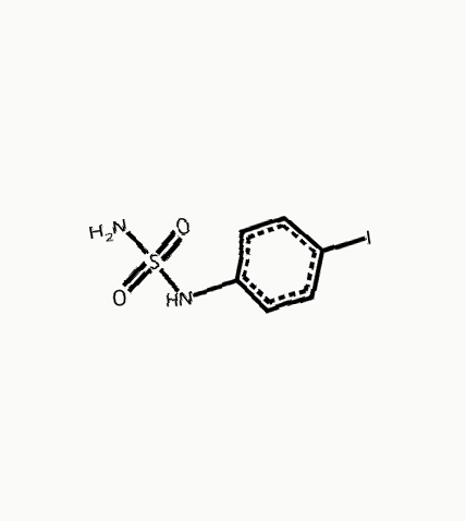 NS(=O)(=O)Nc1ccc(I)cc1